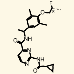 Cc1cc(C(C)NC(=O)c2ccnc(NC(=O)C3CC3)n2)cc(C)c1OC[C@@H](C)F